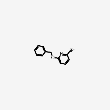 CC(C)c1cccc(OCc2ccccc2)n1